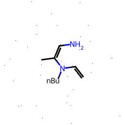 C=CN(CCCC)/C(C)=C\N